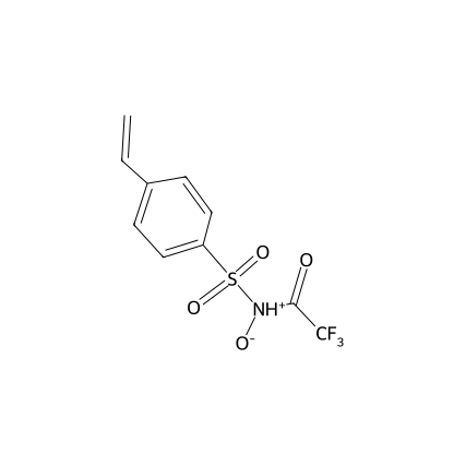 C=Cc1ccc(S(=O)(=O)[NH+]([O-])C(=O)C(F)(F)F)cc1